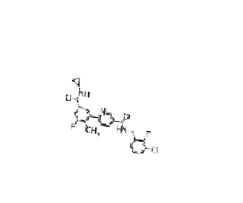 Cc1c(F)cc(C(=O)NC2CC2)cc1-c1ccc(C(=O)NCc2cccc(Cl)c2F)cn1